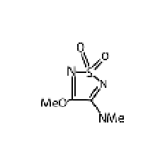 CNC1=NS(=O)(=O)N=C1OC